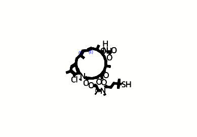 C/C1=C\C=C\C(C)C2(O)CC(OC(=O)N2)C(C)C2OC2(C)C(OC(=O)[C@H](C)N(C)C(=O)CCC(C)(C)S)CC(=O)N(C)c2cc(cc(C)c2Cl)C1